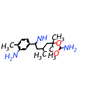 Cc1ccc(C(=N)CC(C)CC(C)(C)OC(N)=O)cc1N